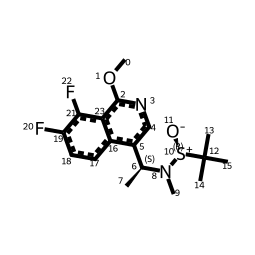 COc1ncc([C@H](C)N(C)[S@@+]([O-])C(C)(C)C)c2ccc(F)c(F)c12